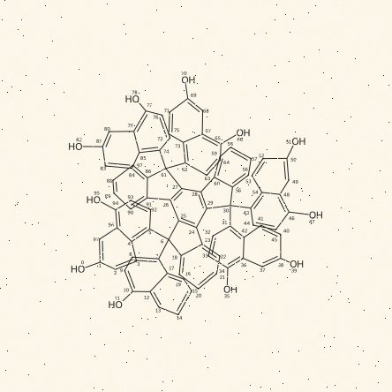 Oc1ccc2c(C3(c4ccc(O)c5ccccc45)c4ccccc4-c4c3c3c(c5c4C(c4ccc(O)c6cc(O)ccc46)(c4ccc(O)c6cc(O)ccc46)c4ccccc4-5)C(c4ccc(O)c5cc(O)ccc45)(c4ccc(O)c5cc(O)ccc45)c4ccccc4-3)ccc(O)c2c1